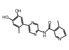 Cc1ccncc1C(=O)Nc1cnc(-c2cc(O)c(O)cc2C)cn1